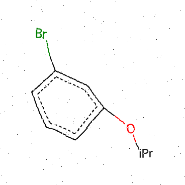 CC(C)Oc1cccc(Br)c1